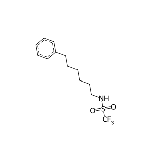 O=S(=O)(NCCCCCCc1ccccc1)C(F)(F)F